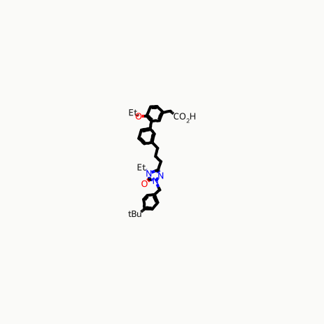 CCOc1ccc(CC(=O)O)cc1-c1cccc(CCCc2nn(Cc3ccc(C(C)(C)C)cc3)c(=O)n2CC)c1